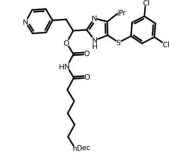 CCCCCCCCCCCCCCCC(=O)NC(=O)OC(Cc1ccncc1)c1nc(C(C)C)c(Sc2cc(Cl)cc(Cl)c2)[nH]1